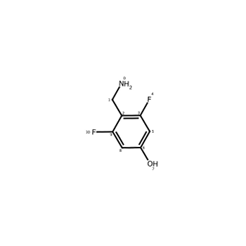 NCc1c(F)cc(O)cc1F